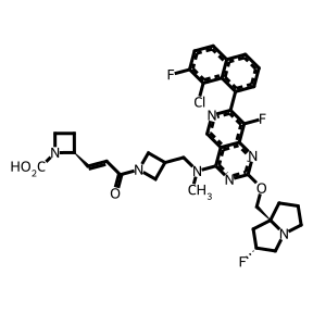 CN(CC1CN(C(=O)/C=C/[C@@H]2CCN2C(=O)O)C1)c1nc(OC[C@@]23CCCN2C[C@H](F)C3)nc2c(F)c(-c3cccc4ccc(F)c(Cl)c34)ncc12